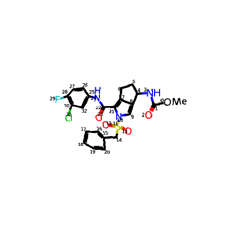 COC(=O)NC1CCc2c1cn(S(=O)(=O)Cc1ccccc1)c2C(=O)Nc1ccc(F)c(Cl)c1